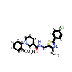 Cc1nc(-c2ccc(Cl)cc2)sc1CNC(=O)C1CCCN(c2ccccc2C(=O)O)C1